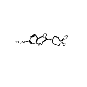 O=[N+]([O-])c1ccc2oc(N3CCS(=O)(=O)CC3)nc2c1